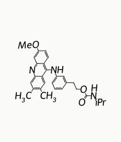 COc1ccc2c(Nc3cccc(CCOC(=O)NC(C)C)c3)c3cc(C)c(C)cc3nc2c1